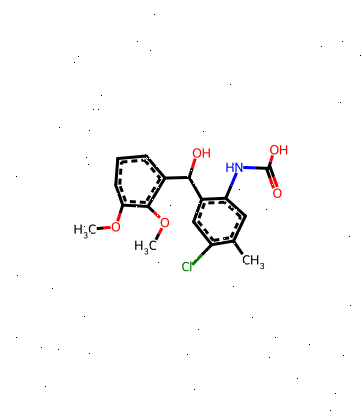 COc1cccc(C(O)c2cc(Cl)c(C)cc2NC(=O)O)c1OC